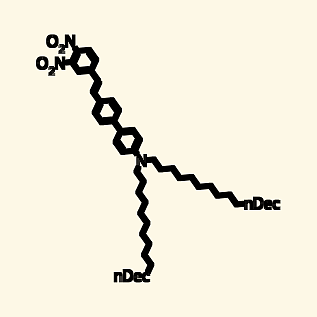 CCCCCCCCCCCCCCCCCCCCN(CCCCCCCCCCCCCCCCCCCC)c1ccc(-c2ccc(C=Cc3ccc([N+](=O)[O-])c([N+](=O)[O-])c3)cc2)cc1